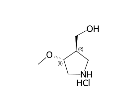 CO[C@H]1CNC[C@@H]1CO.Cl